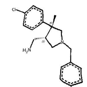 C[C@@]1(c2ccc(Cl)cc2)CN(Cc2ccccc2)C[C@@H]1CN